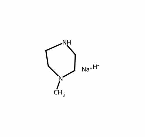 CN1CCNCC1.[H-].[Na+]